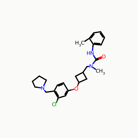 Cc1ccccc1NC(=O)N(C)CC1CC(Oc2ccc(CN3CCCC3)c(Cl)c2)C1